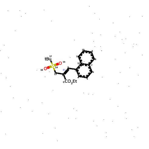 CCOC(=O)/C(=C\c1cccc2ccccc12)CS(=O)(=O)C(C)(C)C